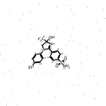 CCc1ccc(N2CC(O)(C(F)(F)F)N=C2c2ccc(S(N)(=O)=O)cc2)cc1